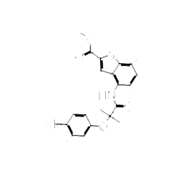 COC(=O)c1cc2c(NC(=O)C(C)(C)Oc3ccc(Cl)cc3)cccc2s1